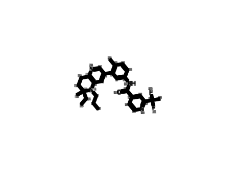 CCCN1c2cc(-c3cc(NC(=O)c4ccnc(C(C)(F)F)c4)ccc3C)cnc2CCC1(C)CC